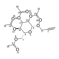 C#CCO[C@@H]1O[C@H](COC(C)=O)[C@@H](OC(C)=O)C(OC(C)=O)C1OC(C)=O